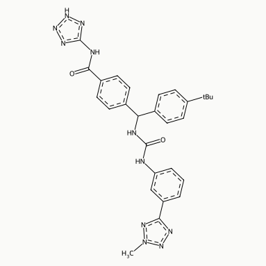 Cn1nnc(-c2cccc(NC(=O)NC(c3ccc(C(=O)Nc4nn[nH]n4)cc3)c3ccc(C(C)(C)C)cc3)c2)n1